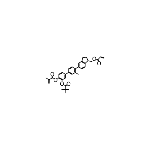 C=CC(=O)OCC1CCc2cc(-c3ccc(-c4ccc(OC(=O)C(=C)C)c(OC(=O)C(C)(C)C)c4)cc3C)ccc21